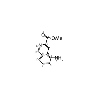 COC(=O)c1cc2c(N)cccc2cn1